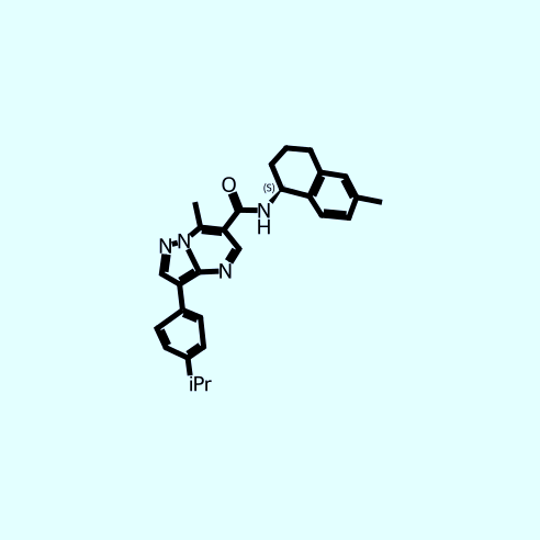 Cc1ccc2c(c1)CCC[C@@H]2NC(=O)c1cnc2c(-c3ccc(C(C)C)cc3)cnn2c1C